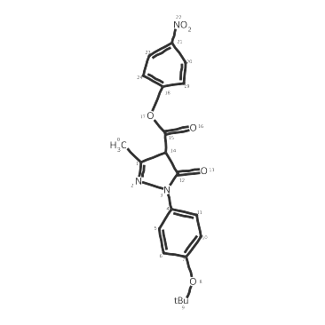 CC1=NN(c2ccc(OC(C)(C)C)cc2)C(=O)C1C(=O)Oc1ccc([N+](=O)[O-])cc1